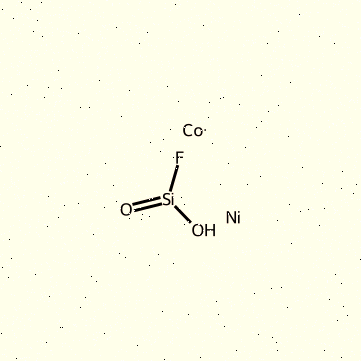 O=[Si](O)F.[Co].[Ni]